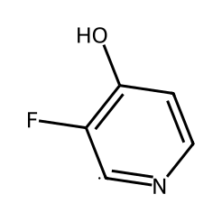 Oc1ccn[c]c1F